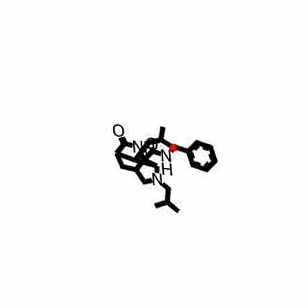 CC(C)CC1C2CC3CN(CC(C)C)C1C3(C(=O)NCc1ccccc1)NC2=O